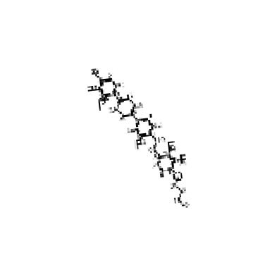 CCCCOc1ccc(CCc2ccc(C3=CCC(c4ccc(C)c(F)c4F)CC3)cc2F)c(F)c1F